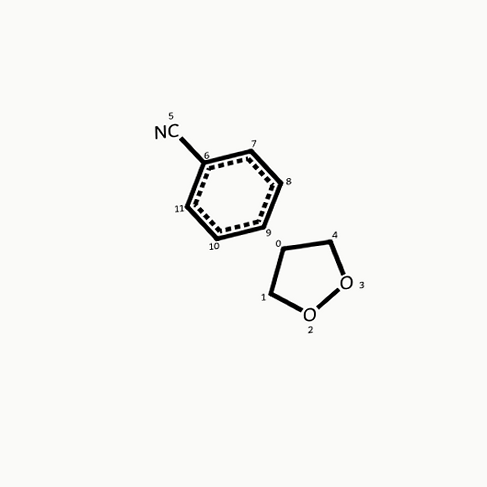 C1COOC1.N#Cc1ccccc1